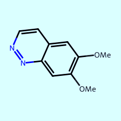 COc1cc2ccnnc2cc1OC